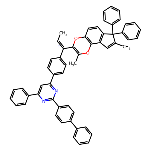 C/C=C(\C1=C(C)Oc2c(ccc3c2C=C(C)C3(c2ccccc2)c2ccccc2)O1)c1ccc(-c2cc(-c3ccccc3)nc(-c3ccc(-c4ccccc4)cc3)n2)cc1